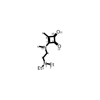 CCN(CC)CCN(C)c1c(C)c(=O)c1=O